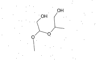 COC(CO)OC(C)CO